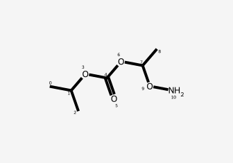 CC(C)OC(=O)OC(C)ON